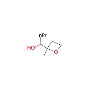 CCCC(O)C1(C)CCO1